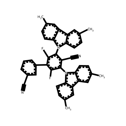 Cc1ccc2c(c1)c1cc(C)ccc1n2-c1c(F)c(-c2cccc(C#N)c2)c(F)c(-n2c3ccc(C)cc3c3cc(C)ccc32)c1C#N